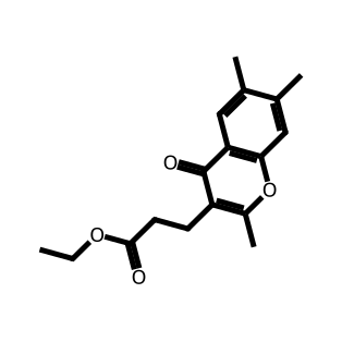 CCOC(=O)CCc1c(C)oc2cc(C)c(C)cc2c1=O